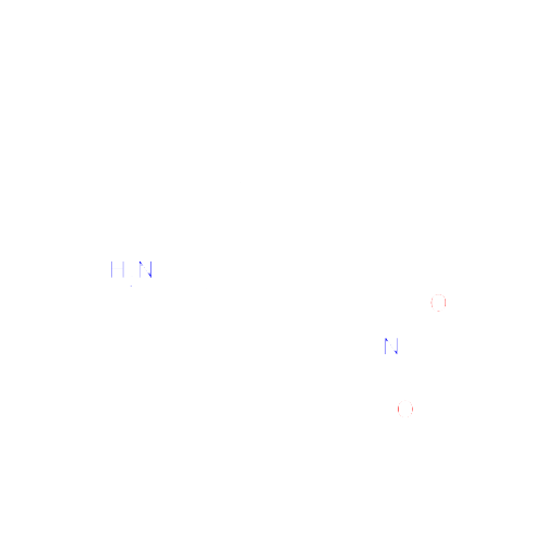 CC(C)c1cc([N+](=O)[O-])ccc1N